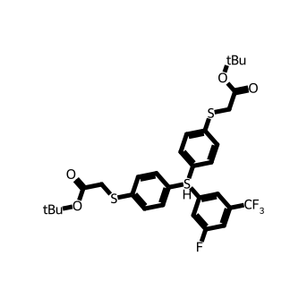 CC(C)(C)OC(=O)CSc1ccc([SH](c2ccc(SCC(=O)OC(C)(C)C)cc2)c2cc(F)cc(C(F)(F)F)c2)cc1